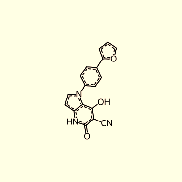 N#Cc1c(O)c2c(ccn2-c2ccc(-c3ccco3)cc2)[nH]c1=O